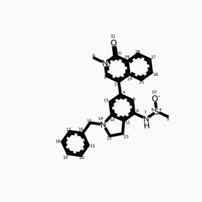 Cn1cc(-c2cc(N[S+](C)[O-])c3c(c2)N(Cc2ccccc2)CC3)c2ccccc2c1=O